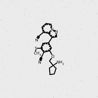 CSc1cc(-c2cnn3cccc(C#N)c23)cc(OCC2(N)CCCC2)c1C#N